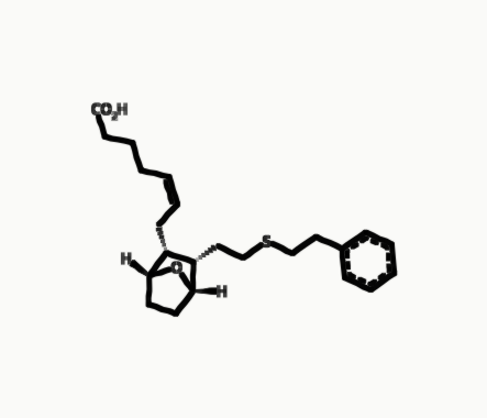 O=C(O)CCC/C=C\C[C@@H]1[C@H](CCSCCc2ccccc2)[C@@H]2CC[C@H]1O2